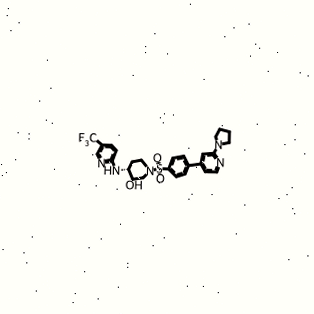 O=S(=O)(c1ccc(-c2ccnc(N3CCCC3)c2)cc1)N1CC[C@@H](Nc2ccc(C(F)(F)F)cn2)[C@@H](O)C1